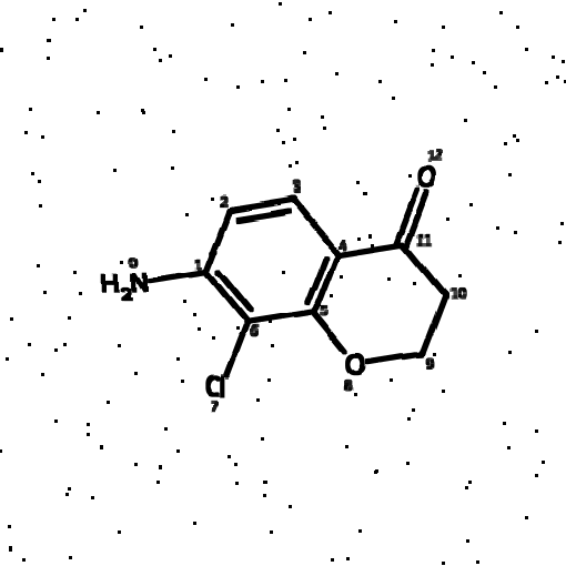 Nc1ccc2c(c1Cl)OCCC2=O